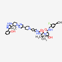 C#Cc1ccc(CNC(=O)[C@@H]2C[C@@H](O)CN2C(=O)[C@@H](NC(=O)N2CC3(CC(N4CCC(c5cnc(N6CCC7Nc8nnc(-c9ccccc9O)cc8C7[C@H]6C)nc5)CC4)C3)C2)C(C)(C)C)c(F)c1